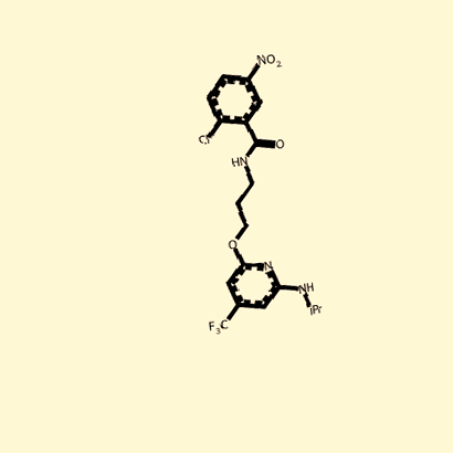 CC(C)Nc1cc(C(F)(F)F)cc(OCCCNC(=O)c2cc([N+](=O)[O-])ccc2Cl)n1